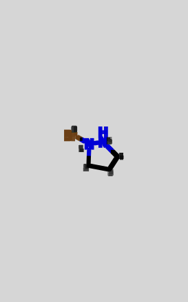 BrN1CCCN1